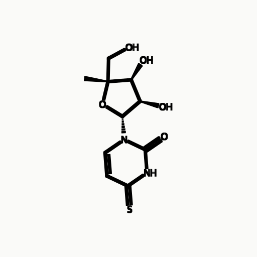 C[C@]1(CO)O[C@@H](n2ccc(=S)[nH]c2=O)[C@H](O)[C@@H]1O